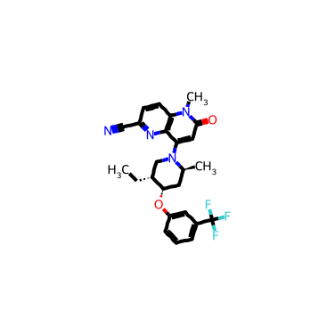 CC[C@@H]1CN(c2cc(=O)n(C)c3ccc(C#N)nc23)[C@@H](C)C[C@@H]1Oc1cccc(C(F)(F)F)c1